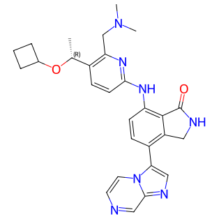 C[C@@H](OC1CCC1)c1ccc(Nc2ccc(-c3cnc4cnccn34)c3c2C(=O)NC3)nc1CN(C)C